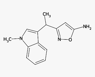 CC(c1cc(N)on1)c1cn(C)c2ccccc12